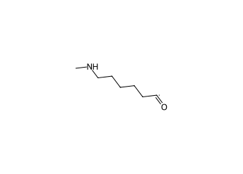 CNCCCCC[C]=O